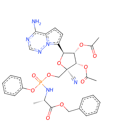 CC(=O)O[C@H]1[C@H](c2ccc3c(N)ncnn23)O[C@](C#N)(COP(=O)(N[C@@H](C)C(=O)OCc2ccccc2)Oc2ccccc2)[C@H]1OC(C)=O